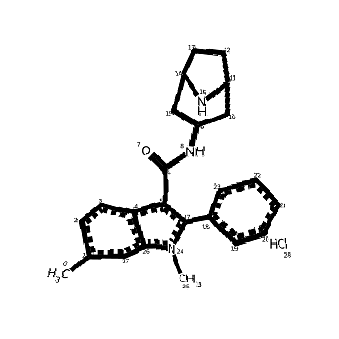 Cc1ccc2c(C(=O)NC3CC4CCC(C3)N4)c(-c3ccccc3)n(C)c2c1.Cl